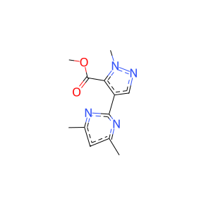 COC(=O)c1c(-c2nc(C)cc(C)n2)cnn1C